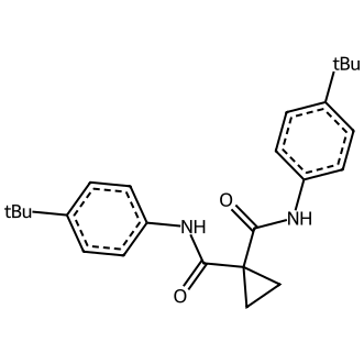 CC(C)(C)c1ccc(NC(=O)C2(C(=O)Nc3ccc(C(C)(C)C)cc3)CC2)cc1